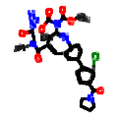 CCCN(CC(N)=O)C(=O)C1=Cc2cc(-c3ccc(C(=O)N4CCCC4)cc3Cl)ccc2N=C(N(C(=O)OC(C)(C)C)C(=O)OC(C)(C)C)C1